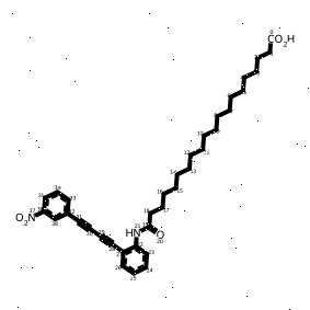 O=C(O)CCCCCCCCCCCCCCCCCCC(=O)Nc1ccccc1C#CC#Cc1cccc([N+](=O)[O-])c1